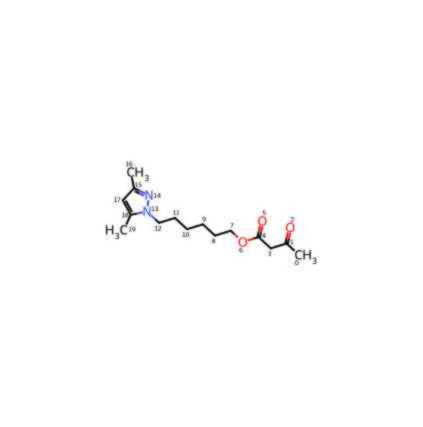 CC(=O)CC(=O)OCCCCCCn1nc(C)cc1C